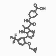 Cc1[nH]c2c(-c3cc(C(F)(F)F)ccc3OCC3CC3)ncnc2c1C(=O)NC1CCN(C(=O)O)CC1